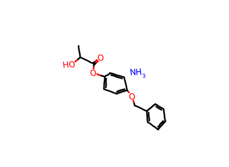 CC(O)C(=O)Oc1ccc(OCc2ccccc2)cc1.N